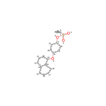 CCCCS(=O)(=O)Oc1ccc(Oc2cccc3ccccc23)cc1